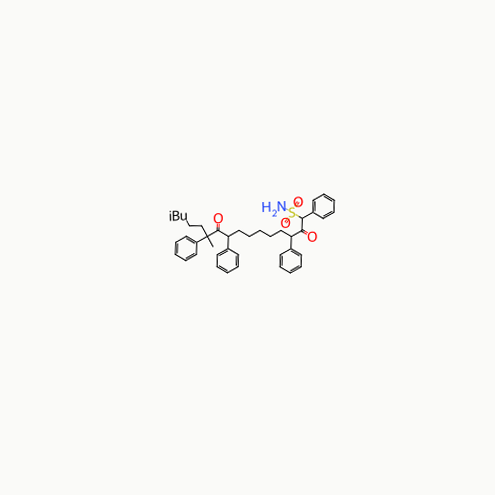 CCC(C)CCC(C)(C(=O)C(CCCCCC(C(=O)C(c1ccccc1)S(N)(=O)=O)c1ccccc1)c1ccccc1)c1ccccc1